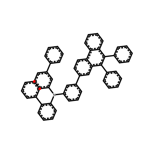 c1ccc(-c2cccc(N(c3cccc(-c4ccc5c(c4)c(-c4ccccc4)c(-c4ccccc4)c4ccccc45)c3)c3ccccc3-c3ccccc3)c2)cc1